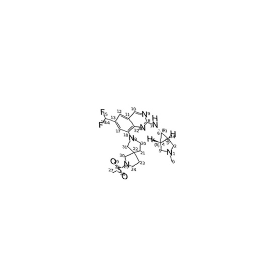 CN1C[C@@H]2[C@H](C1)[C@@H]2Nc1ncc2cc(C(F)F)cc(N3CCC4(CCN(S(C)(=O)=O)C4)C3)c2n1